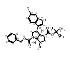 CC(C)(C)OC(=O)N1CC(O)[C@@H]2[C@H]1[C@H](c1c[nH]c3cc(F)ccc13)CN2C(=O)OCc1ccccc1